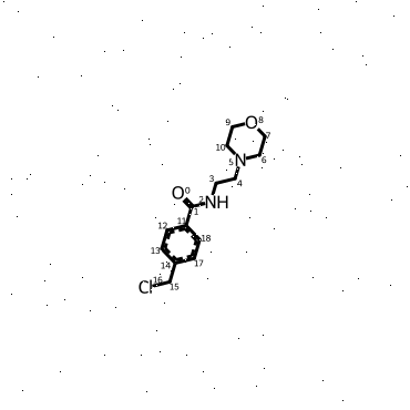 O=C(NCCN1CCOCC1)c1ccc(CCl)cc1